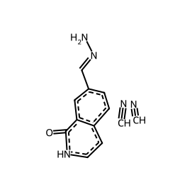 C#N.C#N.NN=Cc1ccc2cc[nH]c(=O)c2c1